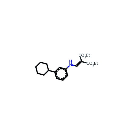 CCOC(=O)C(=CNc1cccc(C2CCCCC2)c1)C(=O)OCC